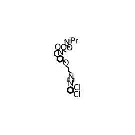 CC(C)N(C)C(=O)OC(C)N1C(=O)CCc2ccc(OCCCCN3CCN(c4cccc(Cl)c4Cl)CC3)cc21